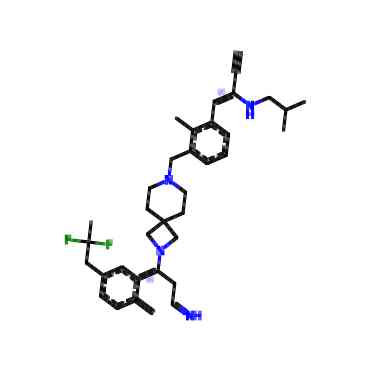 C#C/C(=C/c1cccc(CN2CCC3(CC2)CN(/C(CC=N)=c2\cc(CC(C)(F)F)ccc2=C)C3)c1C)NCC(C)C